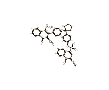 [N-]=[N+]=C1C=C(S(=O)(=O)Oc2ccc(C3(c4ccc(C5=C(S(=O)(=O)O)c6ccccc6C(=O)C5=[N+]=[N-])cc4)CCCC3)cc2)c2ccccc2C1=O